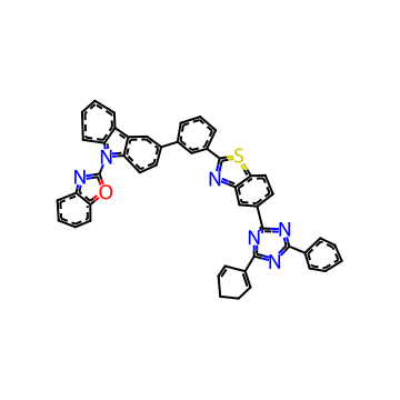 C1=CC(c2nc(-c3ccccc3)nc(-c3ccc4sc(-c5cccc(-c6ccc7c(c6)c6ccccc6n7-c6nc7ccccc7o6)c5)nc4c3)n2)=CCC1